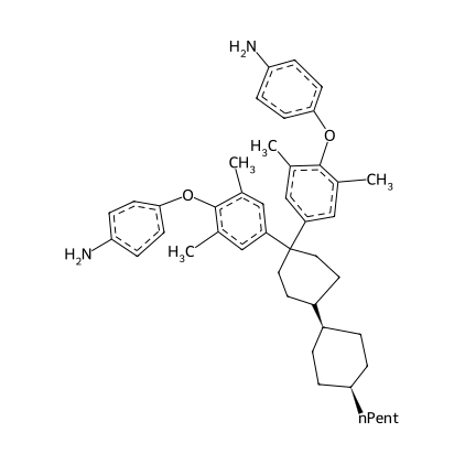 CCCCC[C@H]1CC[C@@H](C2CCC(c3cc(C)c(Oc4ccc(N)cc4)c(C)c3)(c3cc(C)c(Oc4ccc(N)cc4)c(C)c3)CC2)CC1